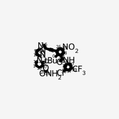 Cc1c(C#Cc2cnc3ccc(N4CCCC(OC(N)=O)[C@@H]4C(C)(C)C)nn23)cc([N+](=O)[O-])cc1C(=O)Nc1cc(Cl)cc(C(F)(F)F)c1